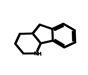 c1ccc2c(c1)CC1CCCNC21